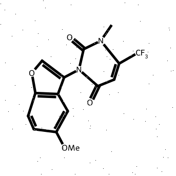 COc1ccc2occ(-n3c(=O)cc(C(F)(F)F)n(C)c3=O)c2c1